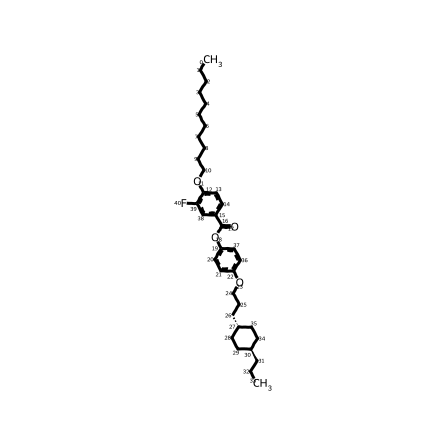 CCCCCCCCCCCOc1ccc(C(=O)Oc2ccc(OCCC[C@H]3CC[C@H](CCC)CC3)cc2)cc1F